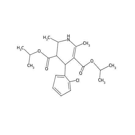 CC1=C(C(=O)OC(C)C)C(c2ccccc2Cl)C(C(=O)OC(C)C)C(C)N1